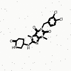 Cn1c(NC2CCC(=O)NC2)nc2c1c(=O)n(Cc1ccc(Cl)c(Cl)c1)c(=O)n2C